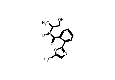 CCN(C(=O)c1ccccc1-c1ncc(C)o1)C(C)CO